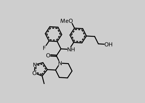 COc1cc(CCO)cc(NC(C(=O)N2CCCCC2c2cnoc2C)c2ccccc2F)c1